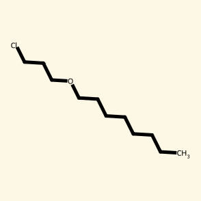 CCCCCCCCOC[CH]CCl